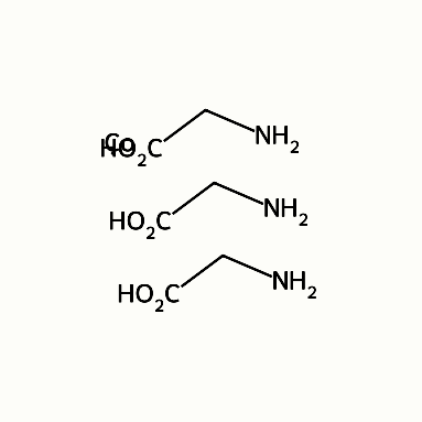 NCC(=O)O.NCC(=O)O.NCC(=O)O.[Co]